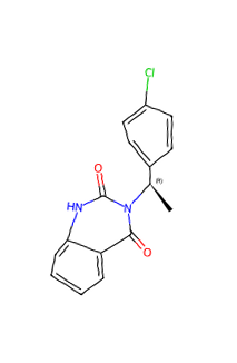 C[C@H](c1ccc(Cl)cc1)n1c(=O)[nH]c2ccccc2c1=O